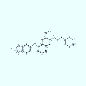 COc1cc2c(Oc3ccc4[nH]c(C)cc4c3)ncnc2cc1OCCC1CCNCC1